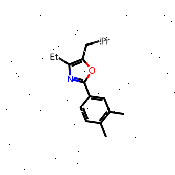 CCc1nc(-c2ccc(C)c(C)c2)oc1CC(C)C